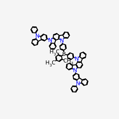 Cc1cc(C)c(B(c2ccc(-n3c4ccccc4c4ccc5c(c6ccccc6n5-c5ccc6c(c5)c5ccccc5n6-c5ccccc5)c43)cc2)c2ccc(-n3c4ccccc4c4ccc5c(c6ccccc6n5-c5ccc6c(c5)c5ccccc5n6-c5ccccc5)c43)cc2)c(C)c1